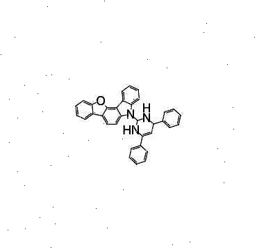 C1=C(c2ccccc2)NC(n2c3ccccc3c3c4oc5ccccc5c4ccc32)NC1c1ccccc1